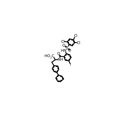 O=C(NC(Cc1ccc(-c2ccccc2)cc1)C(=O)O)c1cc(I)ccc1NS(=O)(=O)c1cc(Cl)c(Cl)cc1Cl